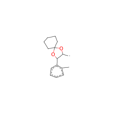 [CH2]C1OC2(CCCCC2)OC1c1ccccc1C